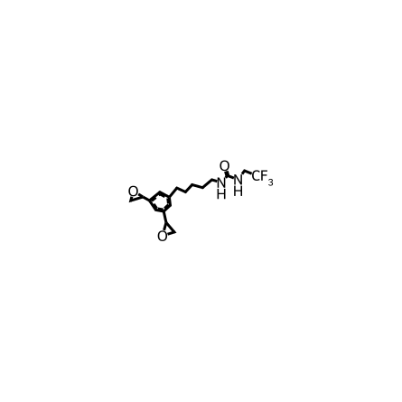 O=C(NCCCCCc1cc(C2CO2)cc(C2CO2)c1)NCC(F)(F)F